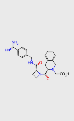 N=C(N)c1ccc(CNC(=O)[C@@H]2CCN2C(=O)[C@H]2Cc3ccccc3CN2CC(=O)O)cc1